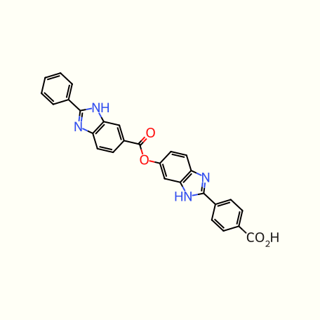 O=C(O)c1ccc(-c2nc3ccc(OC(=O)c4ccc5nc(-c6ccccc6)[nH]c5c4)cc3[nH]2)cc1